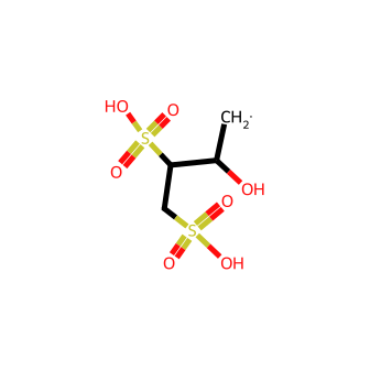 [CH2]C(O)C(CS(=O)(=O)O)S(=O)(=O)O